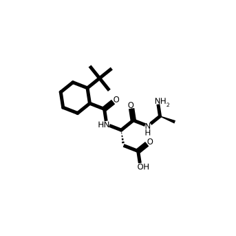 C[C@H](N)NC(=O)[C@H](CC(=O)O)NC(=O)C1CCCCC1C(C)(C)C